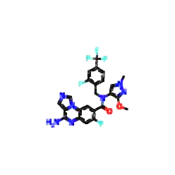 COc1nn(C)cc1N(Cc1ccc(C(F)(F)F)cc1F)C(=O)c1cc2c(cc1F)nc(N)c1cncn12